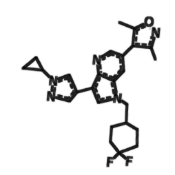 Cc1noc(C)c1-c1cnc2c(-c3cnn(C4CC4)c3)cn(CC3CCC(F)(F)CC3)c2c1